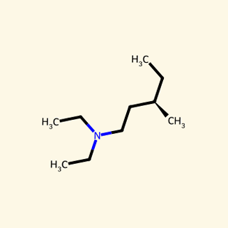 CC[C@@H](C)CCN(CC)CC